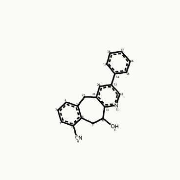 N#Cc1cccc2c1CC(O)c1ncc(-c3ccccc3)cc1C2